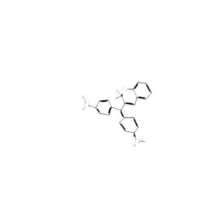 CN(C)c1ccc(C(C2=Cc3ccccc3OC2(C)C)=C2C=CC(=[N+](C)C)C=C2)cc1